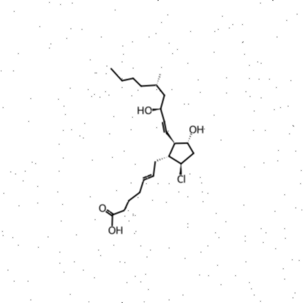 CCCC[C@H](C)C[C@H](O)C=C[C@@H]1[C@@H](CC=CCCCC(=O)O)[C@H](Cl)C[C@H]1O